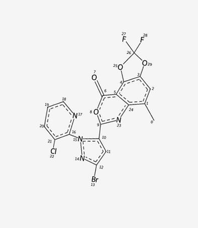 Cc1cc2c(c3c(=O)oc(-c4cc(Br)nn4-c4ncccc4Cl)nc13)OC(F)(F)O2